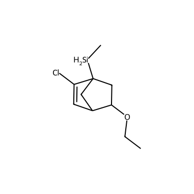 CCOC1CC2([SiH2]C)CC1C=C2Cl